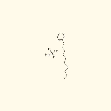 CCCCCCCCCCc1ccccc1.O=S(=O)(O)O